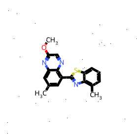 COc1cnc2c(-c3nc4c(C)cccc4s3)cc(C)cc2n1